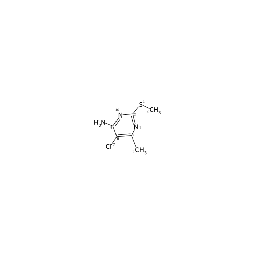 CSc1nc(C)c(Cl)c(N)n1